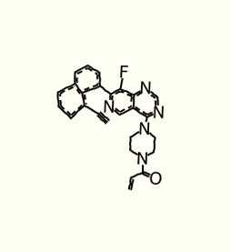 C#Cc1cccc2cccc(-c3ncc4c(N5CCN(C(=O)C=C)CC5)ncnc4c3F)c12